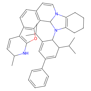 CC1C=Cc2c(oc3c4c(ccc23)C=CN2C3=C(CCCC3)N(C3C(C(C)C)=CC(c5ccccc5)=CC3C(C)C)C42)N1